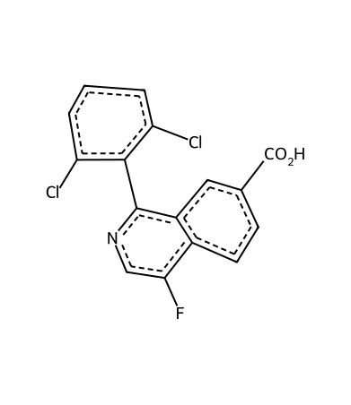 O=C(O)c1ccc2c(F)cnc(-c3c(Cl)cccc3Cl)c2c1